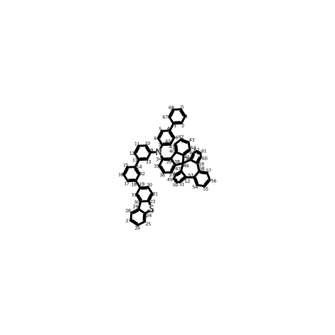 c1ccc(-c2ccc(N(c3cccc(-c4cccc(-c5ccc6sc7ccccc7c6c5)c4)c3)c3cccc4c3-c3ccccc3C43c4ccccc4-c4ccccc4-c4ccccc43)cc2)cc1